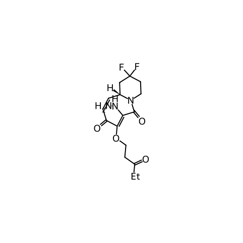 CCC(=O)CCO/C1=C(/NN)C(=O)N2CCC(F)(F)C[C@H]2/C=C\C1=O